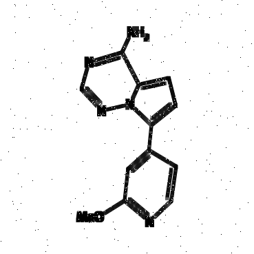 COc1cc(-c2ccc3c(N)ncnn23)ccn1